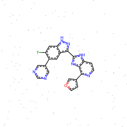 Fc1cc2[nH]nc(-c3nc4c(-c5ccoc5)nccc4[nH]3)c2cc1-c1cncnc1